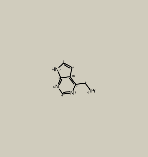 CC(C)Cc1ncnc2[nH]ccc12